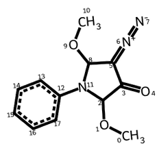 COC1C(=O)C(=[N+]=[N-])C(OC)N1c1ccccc1